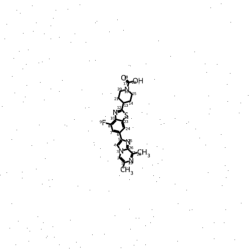 Cc1cn2cc(-c3cc(F)c4nc(C5CCN(C(=O)O)CC5)sc4c3)nc2c(C)n1